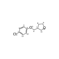 Clc1c[c]c(OCC2CCOC2)cc1